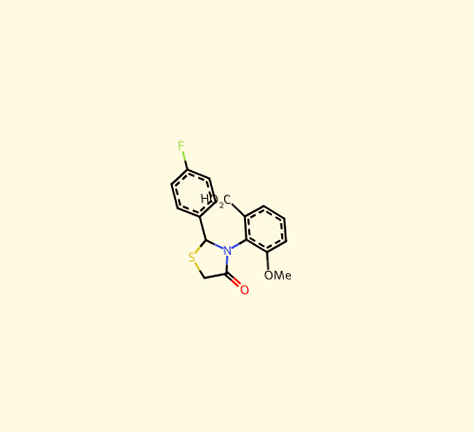 COc1cccc(C(=O)O)c1N1C(=O)CSC1c1ccc(F)cc1